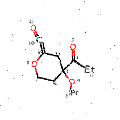 CCC(=O)C1(OC(C)C)CCOC(=C=O)C1